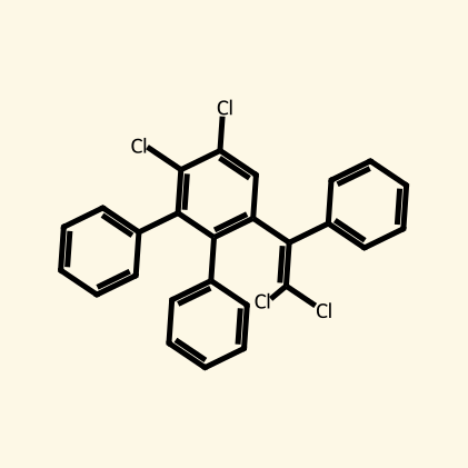 ClC(Cl)=C(c1ccccc1)c1cc(Cl)c(Cl)c(-c2ccccc2)c1-c1ccccc1